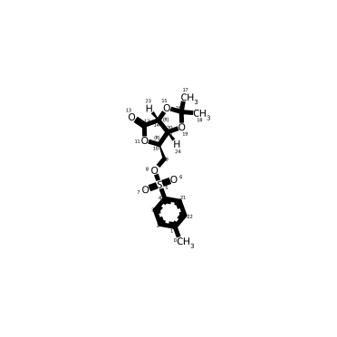 Cc1ccc(S(=O)(=O)OC[C@H]2OC(=O)[C@@H]3OC(C)(C)O[C@H]23)cc1